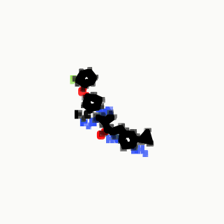 Cc1cc(Oc2ccccc2F)ccc1-n1ncc(C(=O)c2cc3cc(C4CC4)c(N)cc3[nH]2)c1N